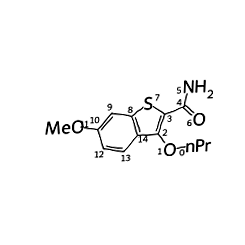 CCCOc1c(C(N)=O)sc2cc(OC)ccc12